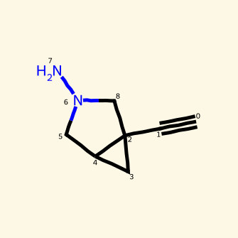 C#CC12CC1CN(N)C2